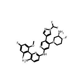 COc1cc(F)cc(F)c1-c1nc(Nc2cc(N3CC[C@@H](F)[C@H](N)C3)c(-c3cnn(C(F)F)c3)cn2)ccc1N